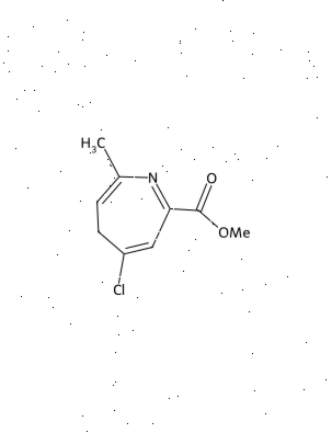 COC(=O)C1=NC(C)=CCC(Cl)=C1